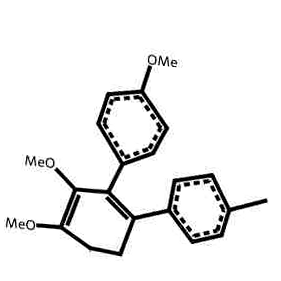 COC1=C(OC)C(c2ccc(OC)cc2)=C(c2ccc(C)cc2)C[CH]1